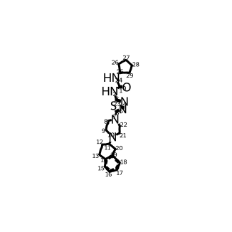 O=C(Nc1nnc(N2CCN(C3CCc4ccccc4C3)CC2)s1)NC1CCCC1